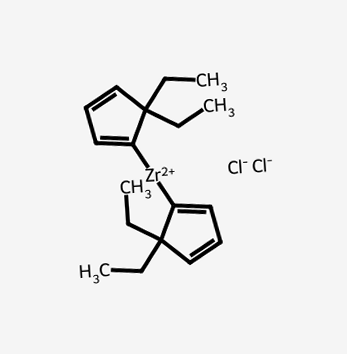 CCC1(CC)C=CC=[C]1[Zr+2][C]1=CC=CC1(CC)CC.[Cl-].[Cl-]